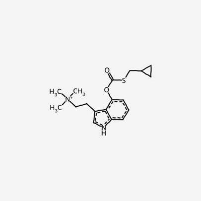 C[N+](C)(C)CCc1c[nH]c2cccc(OC(=O)SCC3CC3)c12